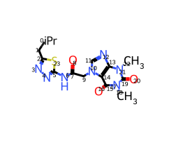 CC(C)Cc1nnc(NC(=O)Cn2cnc3c2c(=O)n(C)c(=O)n3C)s1